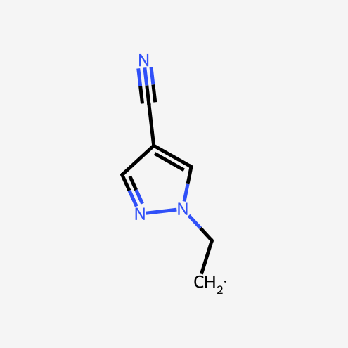 [CH2]Cn1cc(C#N)cn1